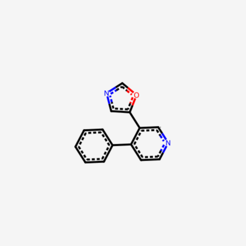 [c]1nccc(-c2ccccc2)c1-c1cnco1